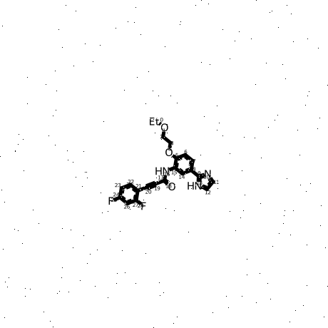 CCOCCOc1ccc(-c2ncc[nH]2)cc1NC(=O)C#Cc1ccc(F)cc1F